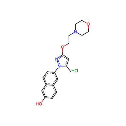 Cc1cc(OCCN2CCOCC2)nn1-c1ccc2cc(O)ccc2c1.Cl